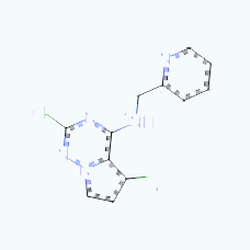 Clc1nc(NCc2ccccn2)c2c(Cl)ccn2n1